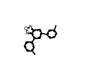 Cc1cccc(-c2cc(-c3cccc(C)c3)c3nonc3c2)c1